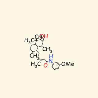 C=C1CCC2C(C(C)CC(O)C2(C)C)C1CCC(C)=CC(=O)Nc1cccc(OC)c1